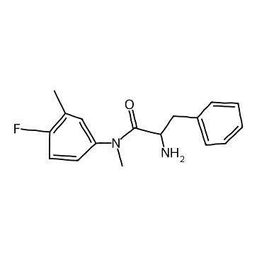 Cc1cc(N(C)C(=O)C(N)Cc2ccccc2)ccc1F